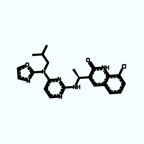 CC(C)CN(c1ccnc(N[C@@H](C)c2cc3cccc(Cl)c3[nH]c2=O)n1)c1ncco1